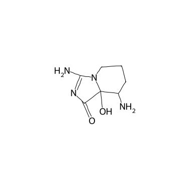 NC1=NC(=O)C2(O)C(N)CCCN12